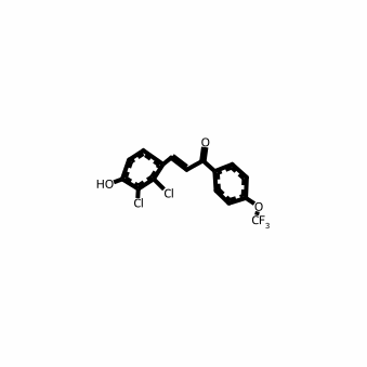 O=C(/C=C/c1ccc(O)c(Cl)c1Cl)c1ccc(OC(F)(F)F)cc1